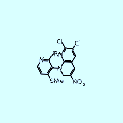 CSc1ccnc(C(C)C)c1N1CC([N+](=O)[O-])=Cc2cc(Cl)c(Cl)nc21